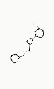 CC(C)c1cccc(-c2nc(C(=O)NCc3cccc[n+]3[O-])cs2)c1